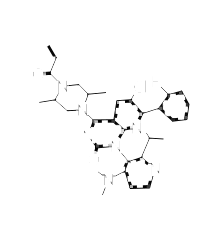 C=CC(=O)N1CC(C)N(c2nc(=O)n(-c3c(N(C)C)ccnc3C(C)C)c3nc(-c4ccccc4F)c(Cl)cc23)CC1C